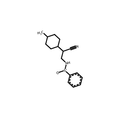 CC1CCC(C(C#N)CN[S+]([O-])c2ccccc2)CC1